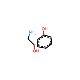 NCCO.Oc1ccccc1